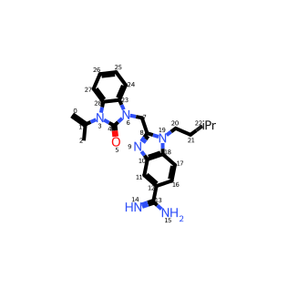 C=C(C)n1c(=O)n(Cc2nc3cc(C(=N)N)ccc3n2CCC(C)C)c2ccccc21